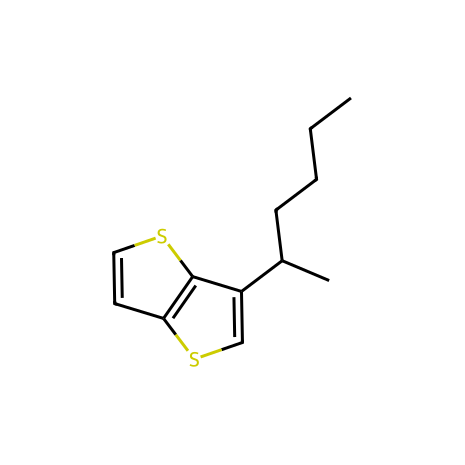 CCCCC(C)c1csc2ccsc12